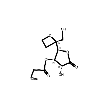 CCCCCCCCCCCC(=O)O[C@@H]1[C@@H](O)C(=O)O[C@@H]1[C@]1(CO)CCO1